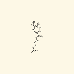 CC(C)CCCOCC(=O)C1=CCC(=O)C(C=O)=CO1